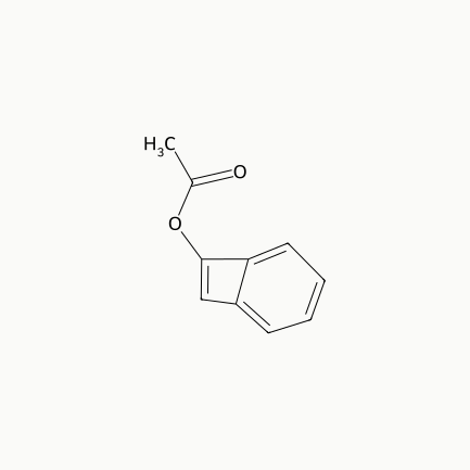 CC(=O)OC1=Cc2ccccc21